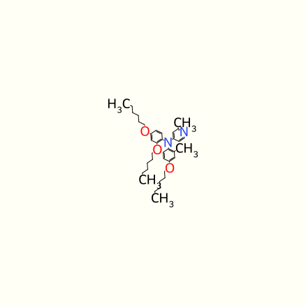 CCCCCCOc1ccc(N(c2ccnc(C)c2)c2ccc(OCCCCCC)cc2OCCCCCC)c(C)c1